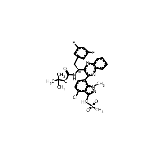 Cn1nc(NS(C)(=O)=O)c2c(Cl)ccc(-c3nc4ccccc4nc3[C@H](Cc3cc(F)cc(F)c3)NC(=O)OC(C)(C)C)c21